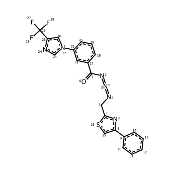 O=C(N=[N+]=NCc1nc(-c2ccccc2)cs1)c1cccc(-n2cnc(C(F)(F)F)c2)c1